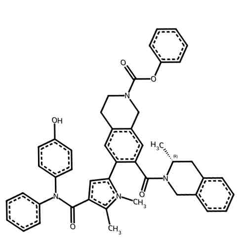 Cc1c(C(=O)N(c2ccccc2)c2ccc(O)cc2)cc(-c2cc3c(cc2C(=O)N2Cc4ccccc4C[C@H]2C)CN(C(=O)Oc2ccccc2)CC3)n1C